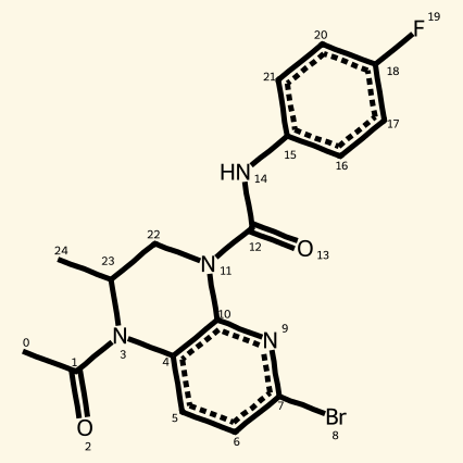 CC(=O)N1c2ccc(Br)nc2N(C(=O)Nc2ccc(F)cc2)CC1C